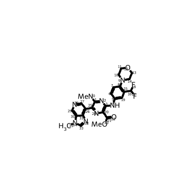 CNc1nc(Nc2ccc(N3CCOCC3)c(C(F)F)c2)c(C(=O)OC)nc1-c1cncc2c1ncn2C